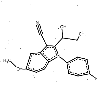 CCC(O)c1c(C#N)c2cc(OC)ccc2n1-c1ccc(F)cc1